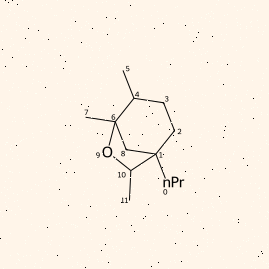 CCCC12CCC(C)C(C)(C1)OC2C